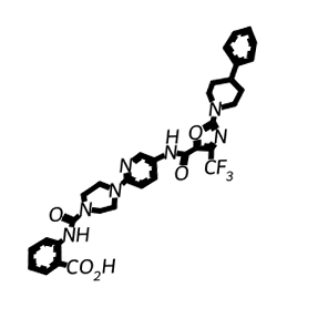 O=C(O)c1ccccc1NC(=O)N1CCN(c2ccc(NC(=O)c3oc(N4CCC(c5ccccc5)CC4)nc3C(F)(F)F)cn2)CC1